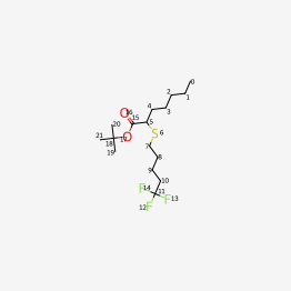 CCCCCC(SCCCCC(F)(F)F)C(=O)OC(C)(C)C